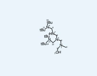 CN(CO)CN(CNCN(C(C)(C)C)C(C)(C)C)CN(C(C)(C)C)C(C)(C)C